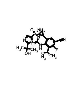 CC(C)c1c(F)c(C#N)cc(C2CC2)c1NC(=O)N=[S@](N)(=O)c1cnc(C(C)(C)O)s1